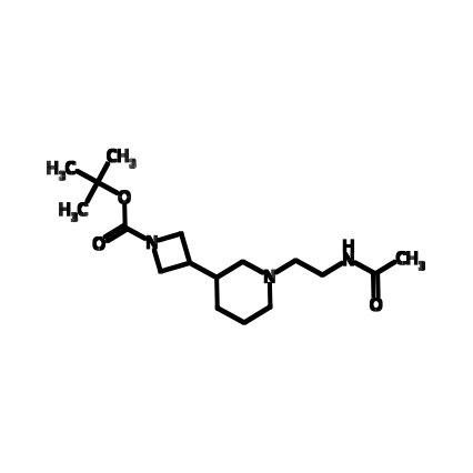 CC(=O)NCCN1CCCC(C2CN(C(=O)OC(C)(C)C)C2)C1